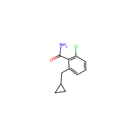 NC(=O)c1c(Cl)cccc1CC1CC1